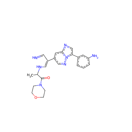 CC(N/C=C(\C=N)c1cnn2c(-c3cccc(N)c3)cnc2c1)C(=O)N1CCOCC1